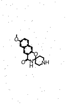 COc1ccc2cc3c(cc2c1)C(=O)NC1(CCNCC1)O3